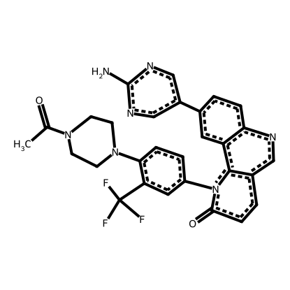 CC(=O)N1CCN(c2ccc(-n3c(=O)ccc4cnc5ccc(-c6cnc(N)nc6)cc5c43)cc2C(F)(F)F)CC1